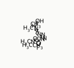 CCN(C(=O)c1cc(F)ccc1Oc1nncnc1N1CCC2(C1)CN(C(CCO)C(C)C)C2)C(C)C